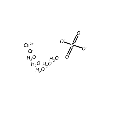 O.O.O.O.O.O=S(=O)([O-])[O-].[Cr].[Cu+2]